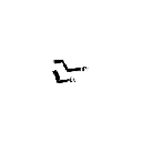 C=CCC.C=CCCCC